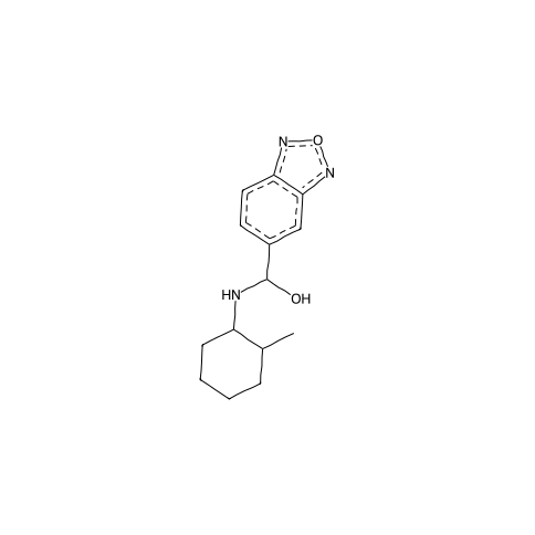 CC1CCCCC1NC(O)c1ccc2nonc2c1